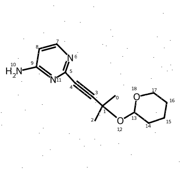 CC(C)(C#Cc1nccc(N)n1)OC1CCCCO1